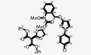 CC(C)OC(=O)C(C(=O)OC(C)C)=C1SCCS1.COC(=O)N(OC)c1ccccc1COc1ccn(-c2ccc(Cl)cc2)n1